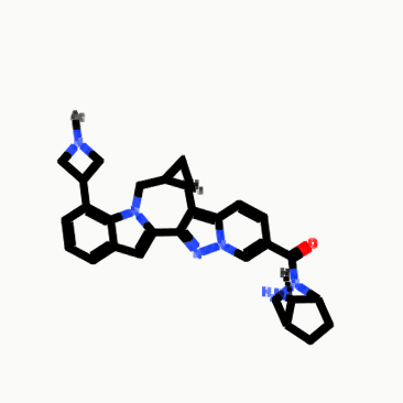 CC(=O)N1CC(c2cccc3cc(-c4nn5cc(C(=O)N6CC7CCC6[C@@H]7N)ccc5c4C)n(CC4CC4)c23)C1